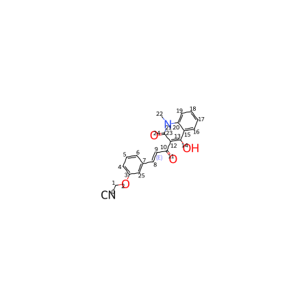 [C-]#[N+]COc1cccc(/C=C/C(=O)c2c(O)c3ccccc3n(C)c2=O)c1